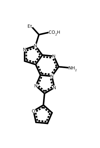 CCC(C(=O)O)n1ncc2c1nc(N)n1nc(-c3ccco3)nc21